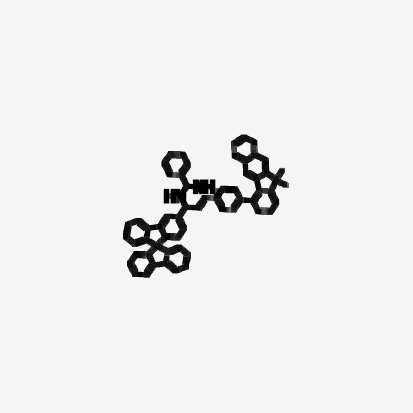 CC1(C)c2cc3ccccc3cc2-c2c(-c3ccc(/C=C/C(NC(N)c4ccccc4)c4ccc5c(c4)-c4ccccc4C54c5ccccc5-c5ccccc54)cc3)cccc21